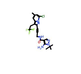 Cc1cc(Cl)n2nc(C#CCNC(=O)c3cnn(C(C)(C)C)c3N)c(CC(F)(F)F)c2c1